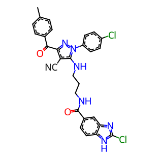 Cc1ccc(C(=O)c2nn(-c3ccc(Cl)cc3)c(NCCCNC(=O)c3ccc4[nH]c(Cl)nc4c3)c2C#N)cc1